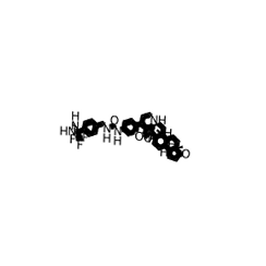 C[C@]12CC[C@]3(C[C@@H]1CC[C@@H]1[C@@H]2CC[C@]2(C)C(=O)CC[C@@H]12)NCCc1c3c(=O)oc2cc(NC(=O)NCc3ccc(C4(C(F)(F)F)NN4)cc3)ccc12